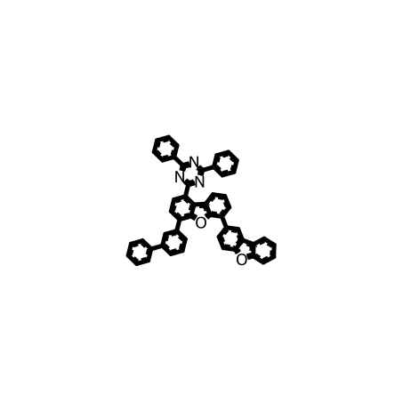 c1ccc(-c2cccc(-c3ccc(-c4nc(-c5ccccc5)nc(-c5ccccc5)n4)c4c3oc3c(-c5ccc6oc7ccccc7c6c5)cccc34)c2)cc1